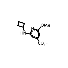 COc1cc(C(=O)O)cc(NC2CCC2)n1